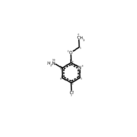 CCOc1ncc(Cl)cc1N